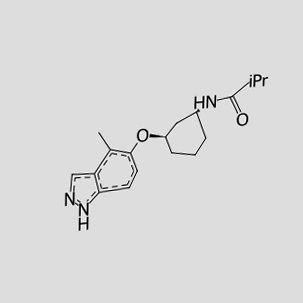 Cc1c(O[C@@H]2CCC[C@H](NC(=O)C(C)C)C2)ccc2[nH]ncc12